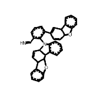 N=Cc1cccc(C2=CC3c4ccccc4OC3C=C2)c1N1c2ccccc2C2C3Oc4ccccc4C3C=CC21